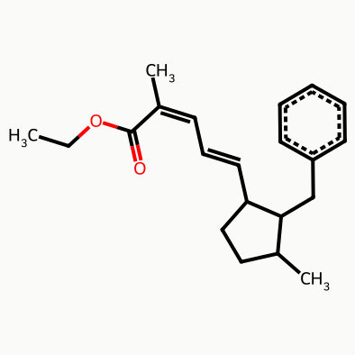 CCOC(=O)C(C)=CC=CC1CCC(C)C1Cc1ccccc1